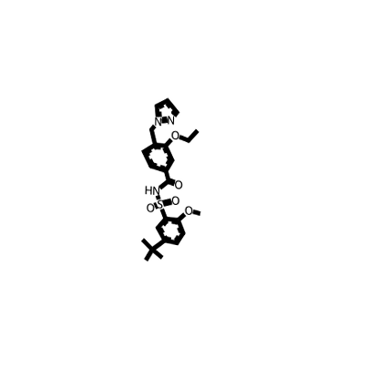 CCOc1cc(C(=O)NS(=O)(=O)c2cc(C(C)(C)C)ccc2OC)ccc1Cn1cccn1